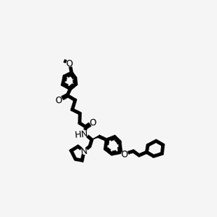 COc1ccc(C(=O)CCCCC(=O)N[C@@H](Cc2ccc(OCCC3CCCCC3)cc2)CN2CCCC2)cc1